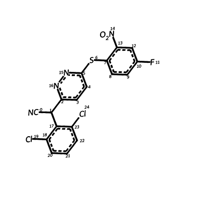 N#CC(c1ccc(Sc2ccc(F)cc2[N+](=O)[O-])nn1)c1c(Cl)cccc1Cl